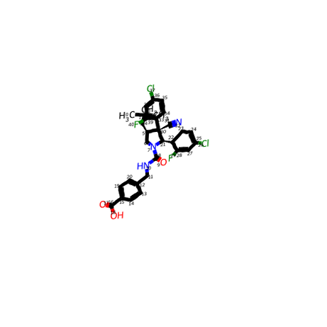 CC(C)(C)C[C@@H]1CN(C(=O)NCc2ccc(C(=O)O)cc2)[C@H](C2CC=C(Cl)C=C2F)[C@@]1(C#N)c1ccc(Cl)cc1F